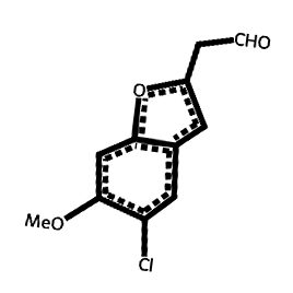 COc1cc2oc(CC=O)cc2cc1Cl